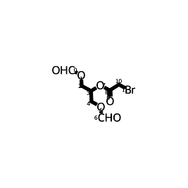 O=COCC(COC=O)OC(=O)CBr